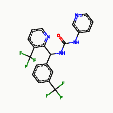 O=C(Nc1cccnc1)NC(c1cccc(C(F)(F)F)c1)c1ncccc1C(F)(F)F